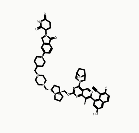 C#Cc1c(F)ccc2cc(O)cc(-c3ncc4c(N5CC6CCC(C5)N6)nc(OC[C@@]56CCCN5[C@H](CN5CCN(CC7CCN(c8ccc9c(c8)CN(C8CCC(=O)NC8=O)C9=O)CC7)CC5)CC6)nc4c3F)c12